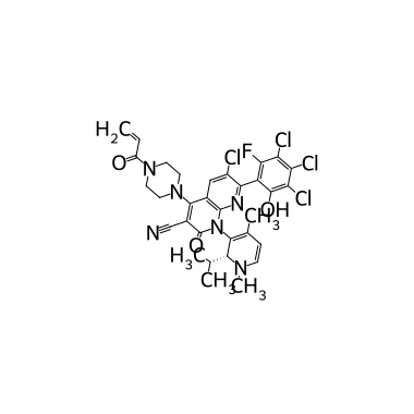 C=CC(=O)N1CCN(c2c(C#N)c(=O)n(C3=C(C)C=CN(C)[C@@H]3C(C)C)c3nc(-c4c(O)c(Cl)c(Cl)c(Cl)c4F)c(Cl)cc23)CC1